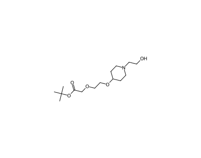 CC(C)(C)OC(=O)COCCOC1CCN(CCO)CC1